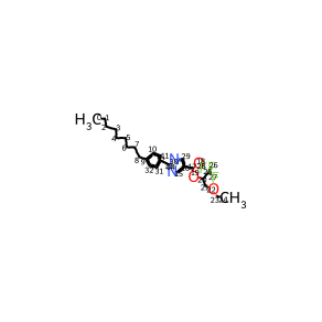 CCCCCCCCCc1ccc(-c2ncc(C(=O)OC(COCC)C(F)(F)F)cn2)cc1